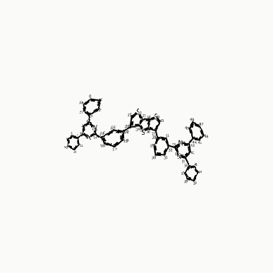 c1ccc(-c2cc(-c3ccccc3)nc(-c3cccc(-c4csc5c4sc4c(-c6cccc(-c7nc(-c8ccccc8)cc(-c8ccccc8)n7)c6)csc45)c3)n2)cc1